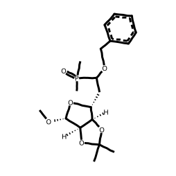 CO[C@@H]1O[C@H](CC(OCc2ccccc2)P(C)(C)=O)[C@H]2OC(C)(C)O[C@@H]12